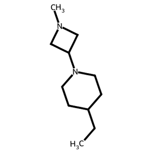 CCC1CCN(C2CN(C)C2)CC1